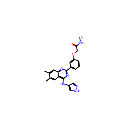 Cc1cc2nc(-c3cccc(OCC(=O)NC(C)(C)C)c3)nc(Nc3cn[nH]c3)c2cc1C